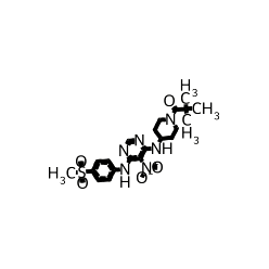 CC(C)(C)C(=O)N1CCC(Nc2ncnc(Nc3ccc(S(C)(=O)=O)cc3)c2[N+](=O)[O-])CC1